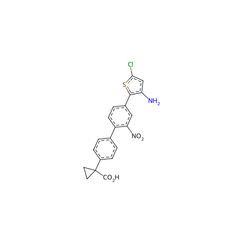 Nc1cc(Cl)sc1-c1ccc(-c2ccc(C3(C(=O)O)CC3)cc2)c([N+](=O)[O-])c1